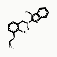 CC(=O)n1c([S@+]([O-])Cc2nccc(OCC(F)(F)F)c2C)nc2ccccc21